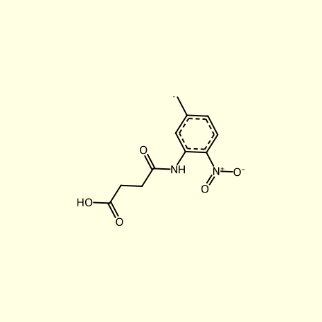 [CH2]c1ccc([N+](=O)[O-])c(NC(=O)CCC(=O)O)c1